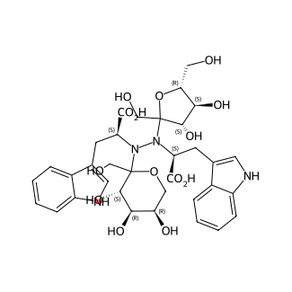 O=C(O)[C@H](Cc1c[nH]c2ccccc12)N(N([C@@H](Cc1c[nH]c2ccccc12)C(=O)O)C1(CO)O[C@H](CO)[C@@H](O)[C@@H]1O)C1(CO)OC[C@@H](O)[C@@H](O)[C@@H]1O